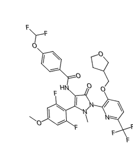 COc1cc(F)c(-c2c(NC(=O)c3ccc(OC(F)F)cc3)c(=O)n(-c3nc(C(F)(F)F)ccc3OCC3CCOC3)n2C)c(F)c1